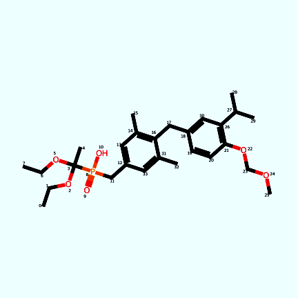 CCOC(C)(OCC)P(=O)(O)Cc1cc(C)c(Cc2ccc(OCOC)c(C(C)C)c2)c(C)c1